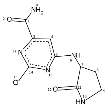 NC(=O)c1cc(NC2CCNC2=O)nc(Cl)n1